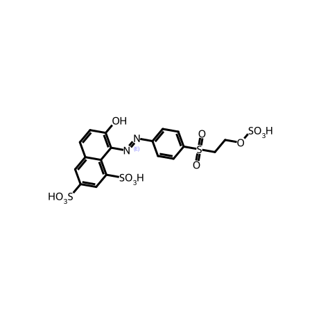 O=S(=O)(O)OCCS(=O)(=O)c1ccc(/N=N/c2c(O)ccc3cc(S(=O)(=O)O)cc(S(=O)(=O)O)c23)cc1